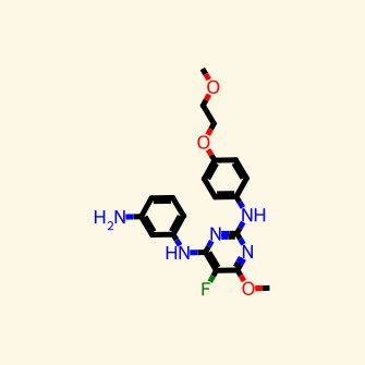 COCCOc1ccc(Nc2nc(Nc3cccc(N)c3)c(F)c(OC)n2)cc1